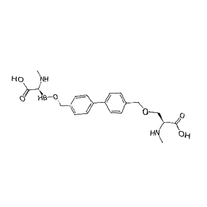 CN[C@@H](BOCc1ccc(-c2ccc(COC[C@H](NC)C(=O)O)cc2)cc1)C(=O)O